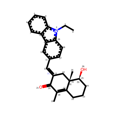 CCn1c2ccccc2c2cc(/C=C3\C[C@@]4(C)C(=C(C)C3=O)CCC[C@@H]4O)ccc21